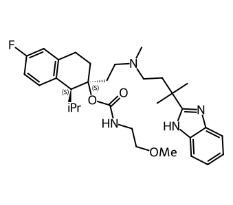 COCCNC(=O)O[C@]1(CCN(C)CCC(C)(C)c2nc3ccccc3[nH]2)CCc2cc(F)ccc2[C@@H]1C(C)C